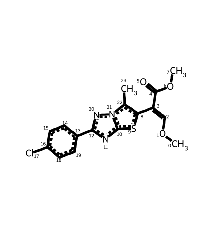 CO/C=C(/C(=O)OC)c1sc2nc(-c3ccc(Cl)cc3)nn2c1C